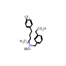 CC[C@H](C)N(Cc1cccc(CC(=O)O)c1)[C@H](C)CCCc1ccc(C(F)(F)F)cc1